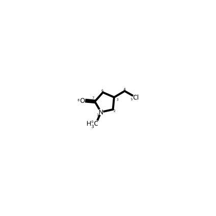 CN1CC(CCl)CC1=O